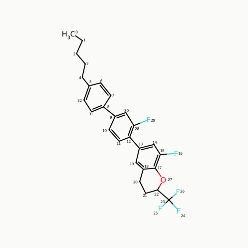 CCCCCc1ccc(-c2ccc(-c3cc(F)c4c(c3)CCC(C(F)(F)F)O4)c(F)c2)cc1